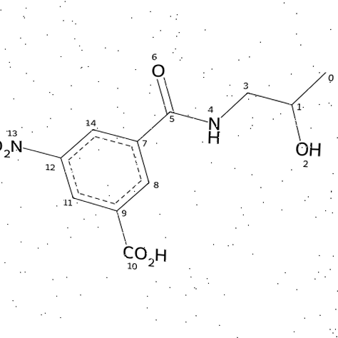 CC(O)CNC(=O)c1cc(C(=O)O)cc([N+](=O)[O-])c1